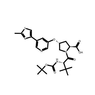 Cc1nc(-c2cncc(O[C@@H]3C[C@@H](C(=O)O)N(C(=O)[C@@H](NC(=O)OC(C)(C)C)C(C)(C)C)C3)c2)cs1